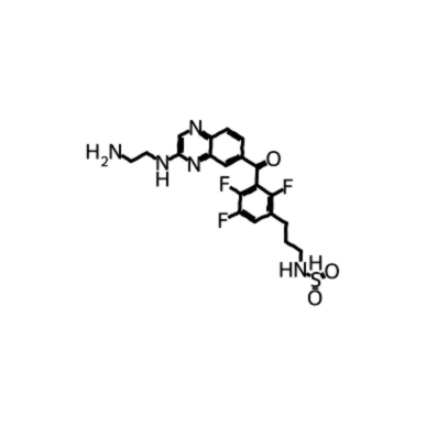 NCCNc1cnc2ccc(C(=O)c3c(F)c(F)cc(CCCN[SH](=O)=O)c3F)cc2n1